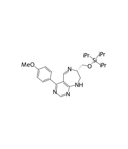 COc1ccc(-c2ncnc3c2C=N[C@H](CO[Si](C(C)C)(C(C)C)C(C)C)CN3)cc1